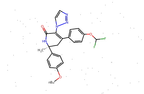 CCCCOc1ccc([C@]2(C)CC(c3ccc(OC(F)F)cc3)=C(n3ccnn3)C(=O)N2)cc1